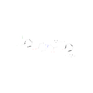 COc1cccc(OC)c1OCC(O)CN1CCC(Oc2ccc(Cl)c(Cl)c2)CC1